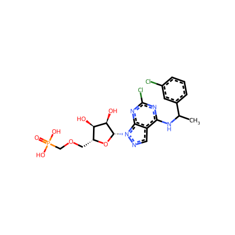 CC(Nc1nc(Cl)nc2c1cnn2[C@@H]1O[C@H](COCP(=O)(O)O)[C@@H](O)[C@H]1O)c1cccc(Cl)c1